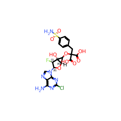 Nc1nc(Cl)nc2c1ncn2[C@@H]1O[C@@H]2C(OC(Cc3ccc(S(N)(=O)=O)cc3)(C(=O)O)C(=O)O)[C@]2(O)[C@@H]1F